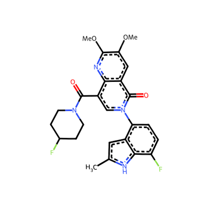 COc1cc2c(=O)n(-c3ccc(F)c4[nH]c(C)cc34)cc(C(=O)N3CCC(F)CC3)c2nc1OC